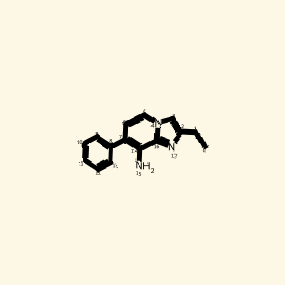 CCc1cn2ccc(-c3ccccc3)c(N)c2n1